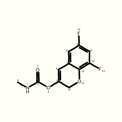 CNC(=O)OC1=Cc2cc(F)cc(F)c2OC1